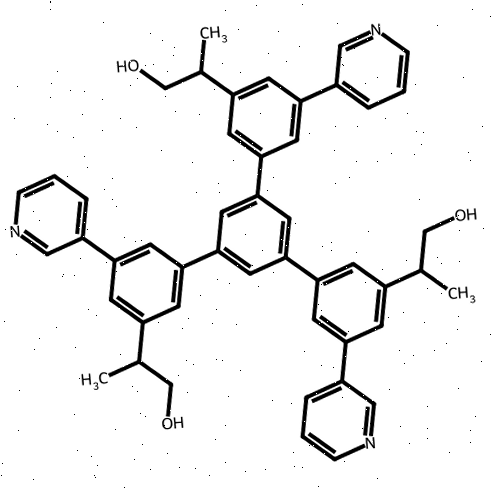 CC(CO)c1cc(-c2cccnc2)cc(-c2cc(-c3cc(-c4cccnc4)cc(C(C)CO)c3)cc(-c3cc(-c4cccnc4)cc(C(C)CO)c3)c2)c1